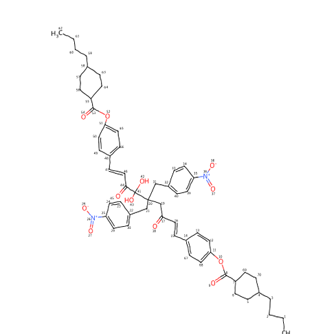 CCCCC1CCC(C(=O)Oc2ccc(C=CC(=O)CC(Cc3ccc([N+](=O)[O-])cc3)(Cc3ccc([N+](=O)[O-])cc3)C(O)(O)C(=O)C=Cc3ccc(OC(=O)C4CCC(CCCC)CC4)cc3)cc2)CC1